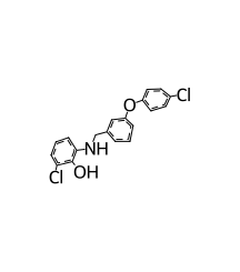 Oc1c(Cl)cccc1NCc1cccc(Oc2ccc(Cl)cc2)c1